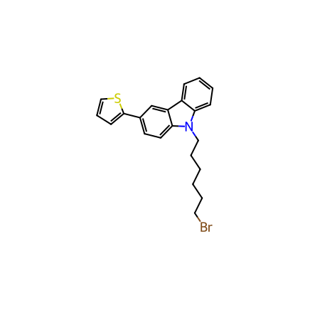 BrCCCCCCn1c2ccccc2c2cc(-c3cccs3)ccc21